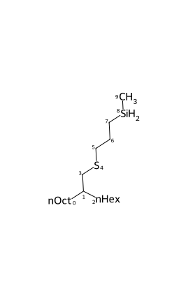 CCCCCCCCC(CCCCCC)CSCCC[SiH2]C